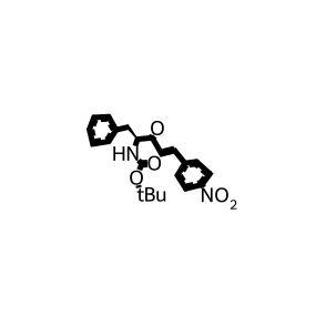 CC(C)(C)OC(=O)N[C@@H](Cc1ccccc1)C(=O)C=Cc1ccc([N+](=O)[O-])cc1